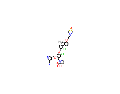 Cc1c(OCCCN2CC[S+]([O-])CC2)cccc1-c1cccc(COc2cc(OCc3cncc(C#N)c3)c(CN3CCCC[C@H]3C(=O)O)cc2Cl)c1Cl